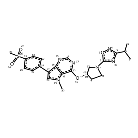 CC(C)c1noc(N2CC[C@H](Oc3ncnc4c(-c5ccc(S(C)(=O)=O)cc5)cn(C)c34)C2)n1